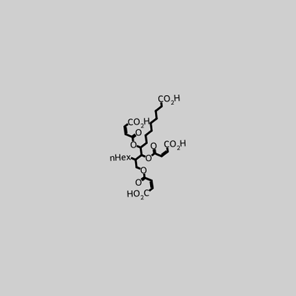 CCCCCCC(COC(=O)/C=C\C(=O)O)C(OC(=O)/C=C\C(=O)O)C(CCCCCCCC(=O)O)OC(=O)/C=C\C(=O)O